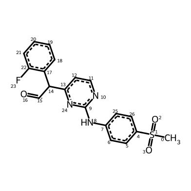 CS(=O)(=O)c1ccc(Nc2nccc(C([C]=O)c3ccccc3F)n2)cc1